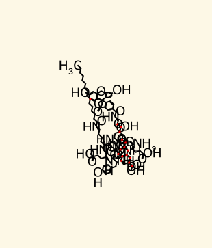 CCCCCCCCCCCCCCCC(=O)NCCCCC(NC(=O)C(CCC(=O)O)NC(=O)C(Cc1ccc(O)cc1)NC(=O)C(CCC(=O)O)NC(=O)COCCOCCNC(=O)c1ccc2c(c1)C(=O)OC21c2ccc(O)cc2Oc2cc(O)ccc21)C(=O)NC(CCC(=O)O)C(=O)NC(Cc1ccc(O)cc1)C(=O)NC(CCC(=O)O)C(N)=O